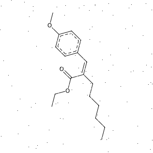 CCCCCCC(=Cc1ccc(OC)cc1)C(=O)OCC